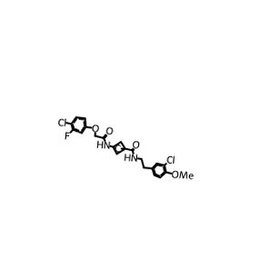 COc1ccc(CCNC(=O)C23CC(NC(=O)COc4ccc(Cl)c(F)c4)(C2)C3)cc1Cl